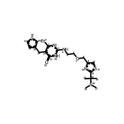 CCc1nc(NCCOCc2csc(C(C)(C)N(C)C)n2)[nH]c(=O)c1Cc1ccsc1